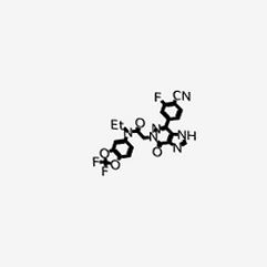 CCN(C(=O)Cn1nc(-c2ccc(C#N)c(F)c2)c2[nH]cnc2c1=O)c1ccc2c(c1)OC(F)(F)O2